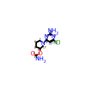 NC(=O)OC1CCCN(c2cc(Cl)nc(N)n2)C1